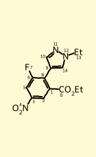 CCOC(=O)c1cc([N+](=O)[O-])cc(F)c1-c1cnn(CC)c1